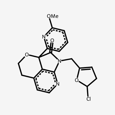 COc1cccc(C23OCCc4ccnc(c42)N(CC2=CCC(Cl)O2)C3=O)n1